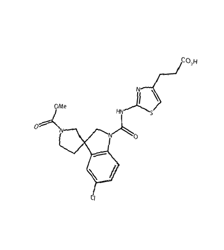 COC(=O)N1CCC2(C1)CN(C(=O)Nc1nc(CCC(=O)O)cs1)c1ccc(Cl)cc12